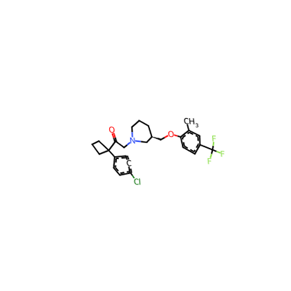 Cc1cc(C(F)(F)F)ccc1OC[C@@H]1CCCN(CC(=O)C2(c3ccc(Cl)cc3)CCC2)C1